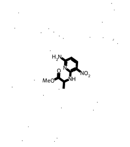 COC(=O)C(C)Nc1nc(N)ccc1[N+](=O)[O-]